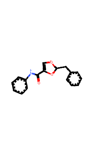 O=C(Nc1cc[c]cc1)C1=COC(Cc2ccccc2)O1